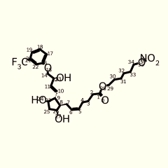 O=C(CCC/C=C\C[C@@H]1[C@@H](/C=C/[C@@H](O)COc2cccc(C(F)(F)F)c2)[C@H](O)C[C@@H]1O)OCCCCCCO[N+](=O)[O-]